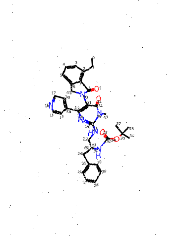 CCc1cccc2c1C(=O)N(c1c(-c3ccncc3)nc(NC[C@H](Cc3ccccc3)NC(=O)OC(C)(C)C)n(C)c1=O)C2